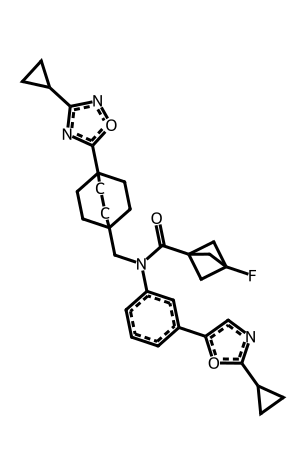 O=C(N(CC12CCC(c3nc(C4CC4)no3)(CC1)CC2)c1cccc(-c2cnc(C3CC3)o2)c1)C12CC(F)(C1)C2